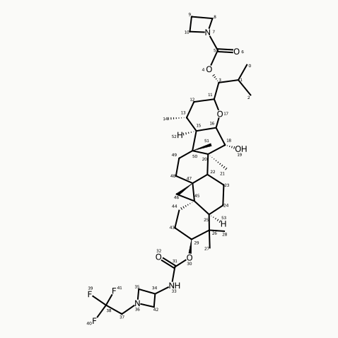 CC(C)[C@@H](OC(=O)N1CCC1)C1C[C@@H](C)[C@H]2C(O1)[C@H](O)[C@@]1(C)C3CC[C@H]4C(C)(C)[C@@H](OC(=O)NC5CN(CC(F)(F)F)C5)CC[C@@]45C[C@@]35CC[C@]21C